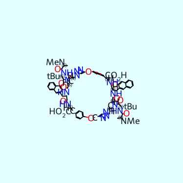 CN[C@@H](C)C(=O)N[C@H](C(=O)N1C[C@@H]2C[C@H]1C(=O)NC(Cc1ccc3ccccc3c1)C(=O)N[C@H](C(=O)O)Cc1ccc(cc1)OCc1cn(nn1)[C@H]1C[C@@H](C(=O)N[C@@H](Cc3ccc4ccccc4c3)C(=O)N[C@H](C(=O)O)c3ccc(cc3)Oc3cn2nn3)N(C(=O)[C@@H](NC(=O)[C@H](C)NC)C(C)(C)C)C1)C(C)(C)C